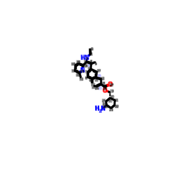 C=CN/C(=C(\C)c1ccc(=C)/c(=C\C(=C/C)C(=O)OC[C@@H]2CCC[C@H](N)C2)c1)c1cccc(C)n1